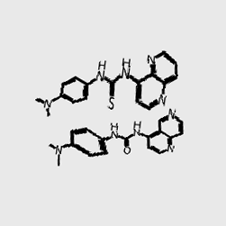 CN(C)c1ccc(NC(=O)Nc2ccnc3ccncc23)cc1.CN(C)c1ccc(NC(=S)Nc2ccnc3cccnc23)cc1